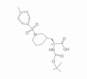 Cc1ccc(S(=O)(=O)N2CCCC(C[C@H](NC(=O)OC(C)(C)C)C(=O)O)C2)cc1